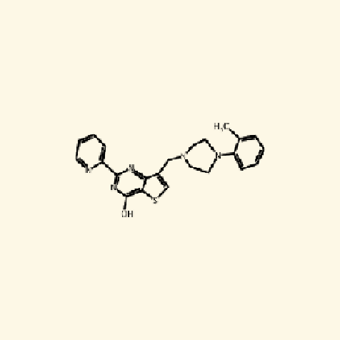 Cc1ccccc1N1CCN(Cc2csc3c(O)nc(-c4ccccn4)nc23)CC1